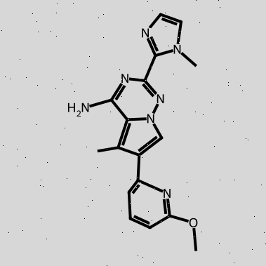 COc1cccc(-c2cn3nc(-c4nccn4C)nc(N)c3c2C)n1